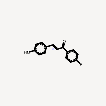 O=C(/C=C/c1ccc(O)cc1)c1ccc(F)cc1